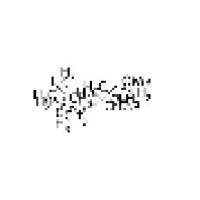 COC(C)(P)CC(C)(C)C(C)(C)CCOC(C)(C)C(C)(P)CC(C)(C)I